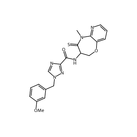 COc1cccc(Cn2cnc(C(=O)NC3COc4cccnc4N(C)C3=S)n2)c1